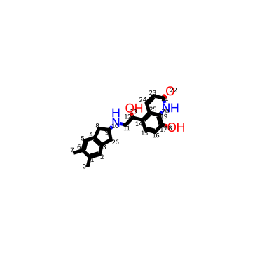 Cc1cc2c(cc1C)CC(NCC(O)c1ccc(O)c3[nH]c(=O)ccc13)C2